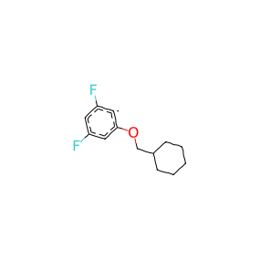 Fc1[c]c(OCC2CCCCC2)cc(F)c1